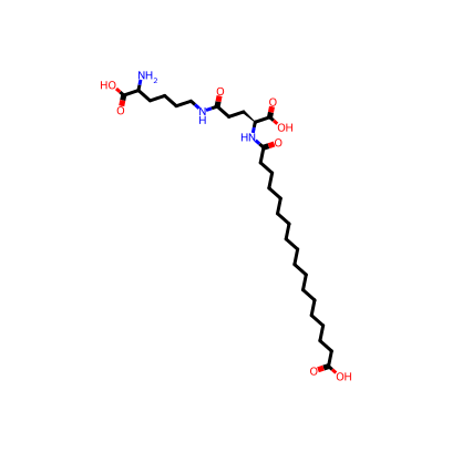 NC(CCCCNC(=O)CC[C@H](NC(=O)CCCCCCCCCCCCCCCCC(=O)O)C(=O)O)C(=O)O